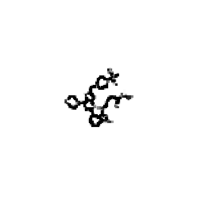 CS(=O)(=O)N1CCN(Cc2cc3nc(-c4cccc5[nH]nc(NCCCC(=O)NO)c45)nc(N4CCOCC4)c3s2)CC1